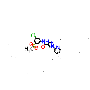 CS(=O)(=O)c1cc(Cl)cc(NC(=O)c2cnn(-c3ccccn3)c2)c1